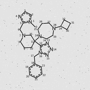 Cn1ccnc1CN1CCCC(c2nnnn2Cc2ccccc2)(N2CCCN(C3CCC3)CC2)C1